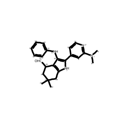 CN(C)c1cc(-c2[nH]c3c(c2Nc2ccccc2)C(C=O)CC(C)(C)C3)ccn1